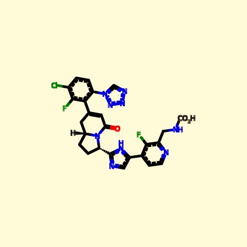 O=C(O)NCc1nccc(-c2cnc([C@@H]3CC[C@@H]4CC(c5c(-n6cnnn6)ccc(Cl)c5F)=CC(=O)N43)[nH]2)c1F